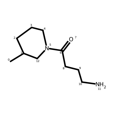 CC1CCCN(C(=O)CCCN)C1